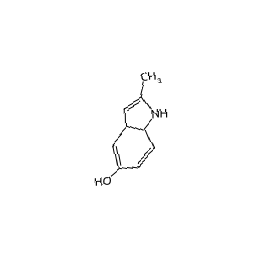 CC1=CC2C=C(O)C=CC2N1